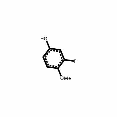 COc1ccc(O)[c]c1F